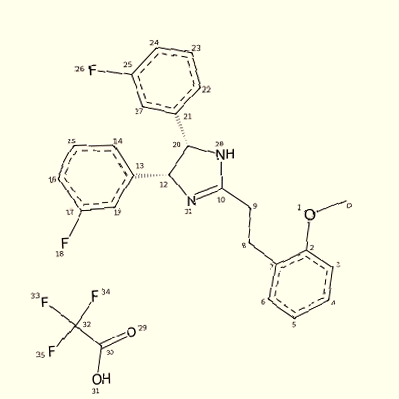 COc1ccccc1CCC1=N[C@H](c2cccc(F)c2)[C@H](c2cccc(F)c2)N1.O=C(O)C(F)(F)F